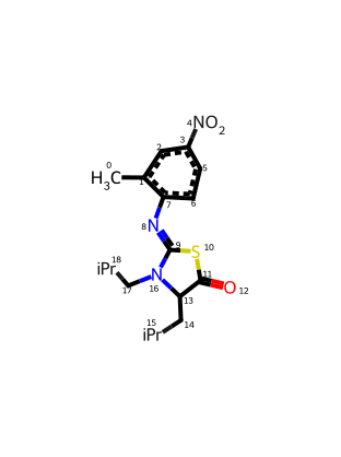 Cc1cc([N+](=O)[O-])ccc1/N=C1\SC(=O)C(CC(C)C)N1CC(C)C